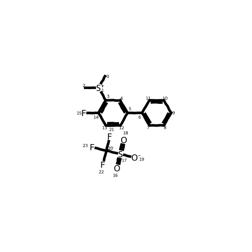 C[S+](C)c1cc(-c2ccccc2)ccc1F.O=S(=O)([O-])C(F)(F)F